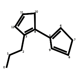 CCCC1=C(C2=[C]CC=C2)CC=C1